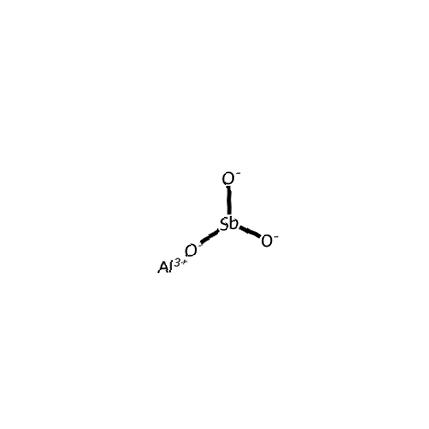 [Al+3].[O-][Sb]([O-])[O-]